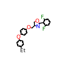 CCc1ccc(Oc2ccc(OCC3COC(c4c(F)cccc4F)=N3)cc2)cc1